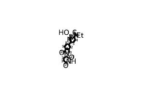 CCN(C(=O)O)c1ccc(-c2ccc3c(c2)CN(C2CCC(=O)NC2=O)C3=O)nn1